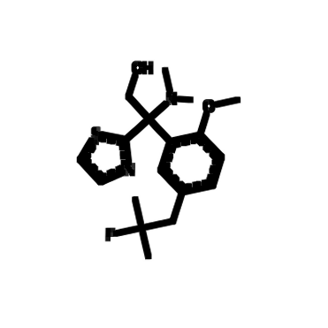 COc1ccc(CC(C)(C)F)cc1C(CO)(c1nccs1)N(C)C